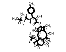 CC(=O)OC12CO[C@@H]1C[C@H](O)[C@@]1(C)C(=O)[C@H](O)C3=C(C)[C@@H](OC(=O)[C@H](O)[C@@H](NC(=O)OC(C)(C)C)c4ccc(C)cc4)C[C@@](O)([C@@H](O)[C@H]21)C3(C)C